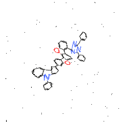 c1ccc(-c2nc(-c3ccccc3)nc(-c3cccc4oc5c(ccc6oc7cc(-c8ccc9c(c8)c8ccccc8n9-c8ccccc8)ccc7c65)c34)n2)cc1